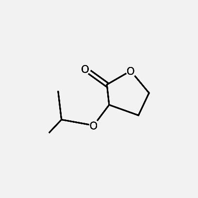 CC(C)OC1CCOC1=O